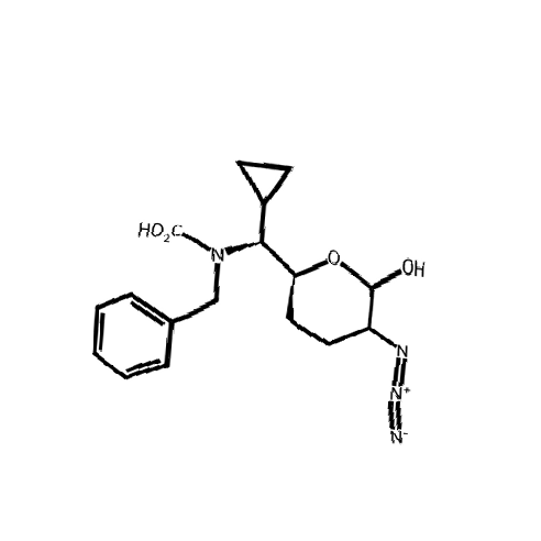 [N-]=[N+]=NC1CC[C@@H]([C@H](C2CC2)N(Cc2ccccc2)C(=O)O)OC1O